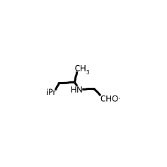 CC(C)CC(C)NC[C]=O